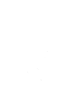 CCCOCCN(C)C(=O)c1csc2c(O)nc(-c3ccccn3)nc12